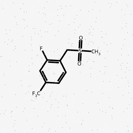 CS(=O)(=O)Cc1ccc(C(F)(F)F)cc1F